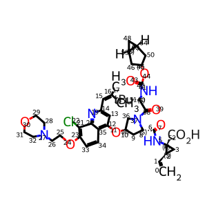 C=C[C@@H]1C[C@]1(NC(=O)[C@@H]1C[C@@H](Oc2cc(C=C(C)C)nc3c(Cl)c(OCCN4CCOCC4)ccc23)CN1C(=O)[C@@H](NC(=O)O[C@@H]1C[C@@H]2C[C@@H]2C1)C(C)(C)C)C(=O)O